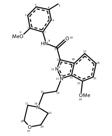 COc1ccc(C)cc1NC(=O)c1nn(CCN2CCOCC2)c2c(OC)cccc12